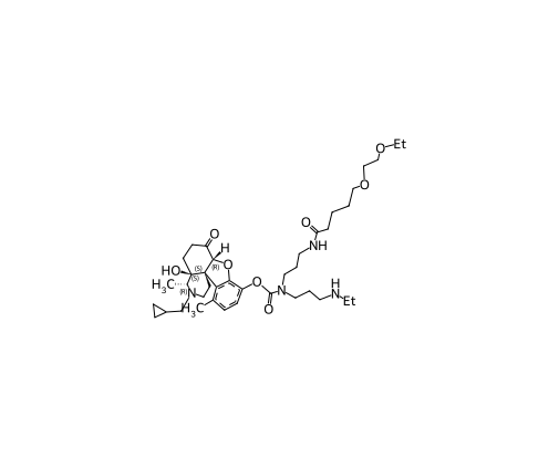 CCNCCCN(CCCNC(=O)CCCCOCCOCC)C(=O)Oc1ccc(C)c2c1O[C@H]1C(=O)CC[C@@]3(O)[C@@H](C)N(CC4CC4)CC[C@]213